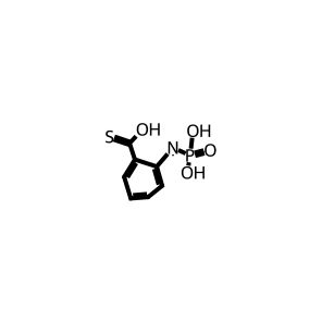 O=P(O)(O)[N]c1ccccc1C(O)=S